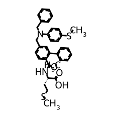 CSCC[C@H](NC(=O)c1ccc(CN(Cc2ccccc2)c2ccc(SC)cc2)cc1-c1ccccc1C)C(=O)O